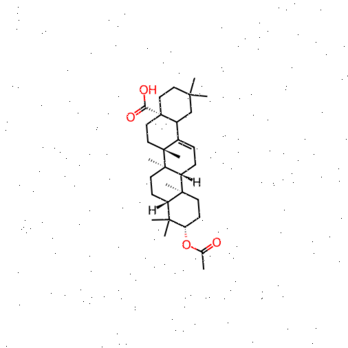 CC(=O)O[C@H]1CC[C@]2(C)[C@H]3CC=C4C5CC(C)(C)CC[C@]5(C(=O)O)CC[C@@]4(C)[C@]3(C)CC[C@H]2C1(C)C